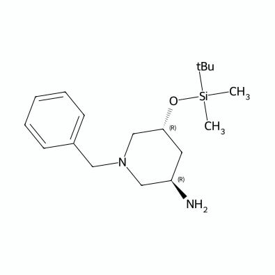 CC(C)(C)[Si](C)(C)O[C@@H]1C[C@@H](N)CN(Cc2ccccc2)C1